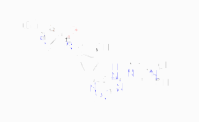 Cc1cc(-c2ncnc3nc(N4CCC(N(C)C)C4)[nH]c23)ccc1CNC(=O)c1cnc(C(C)(C)C)s1